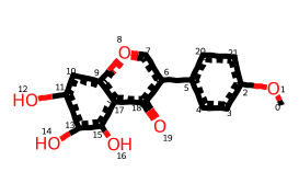 COc1ccc(-c2coc3cc(O)c(O)c(O)c3c2=O)cc1